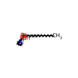 CCCCCCCCCCCCCCCCCCOP(=O)(O)OCC[N+]12CCC(CC1)C2